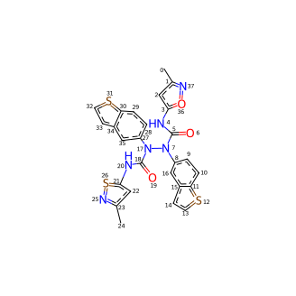 Cc1cc(NC(=O)N(c2ccc3sccc3c2)N(C(=O)Nc2cc(C)ns2)c2ccc3sccc3c2)on1